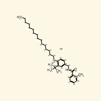 CCCCCCCCCCCCCCCCOc1ccc(CNC(=O)c2cccc[n+]2C)cc1C(C)(C)C.[I-]